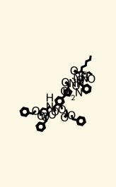 CCCCCC(C(=O)NCNC(=O)c1ccc(-c2ccc(C(=O)NC(CC(=O)OCc3ccccc3)C(=O)OCc3ccccc3)c(OCC(=O)OCc3ccccc3)c2)o1)[C@@H](CC)N(C=O)OC(=O)c1ccccc1N